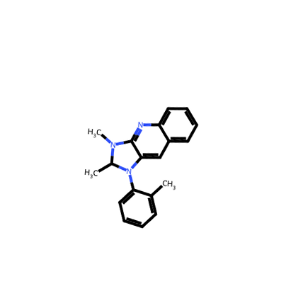 Cc1ccccc1N1c2cc3ccccc3nc2N(C)C1C